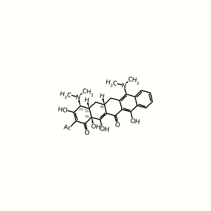 CC(=O)C1=C(O)[C@@H](N(C)C)[C@@H]2C[C@@H]3Cc4c(c(O)c5ccccc5c4N(C)C)C(=O)C3=C(O)[C@]2(O)C1=O